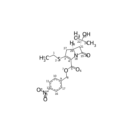 CCSC1=C(C(=O)OCc2ccc([N+](=O)[O-])cc2)N2C(=O)[C@@H](C(C)(C)O)[C@@H]2C1